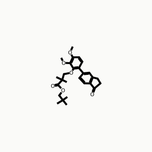 COc1ccc(-c2ccc3c(c2)CCC3=O)c(OCC(C)(C)C(=O)OCC(C)(C)C)c1OC